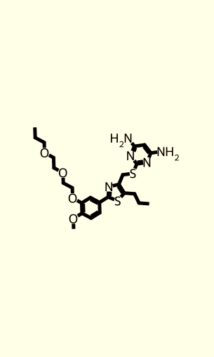 CCCOCCOCCOc1cc(-c2nc(CSc3nc(N)cc(N)n3)c(CCC)s2)ccc1OC